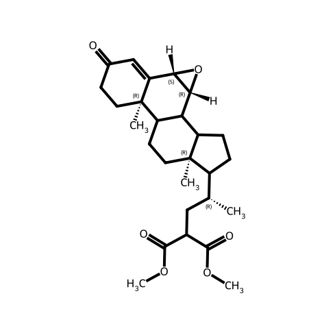 COC(=O)C(C[C@@H](C)C1CCC2C3C(CC[C@@]21C)[C@@]1(C)CCC(=O)C=C1[C@@H]1O[C@H]31)C(=O)OC